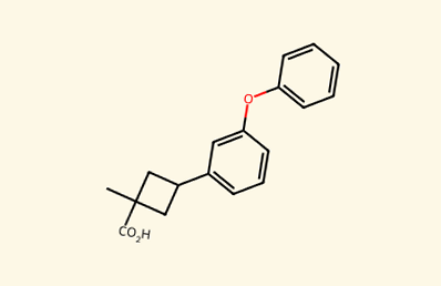 CC1(C(=O)O)CC(c2cccc(Oc3ccccc3)c2)C1